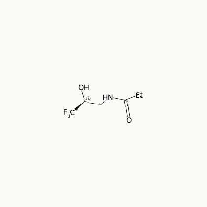 CCC(=O)NC[C@H](O)C(F)(F)F